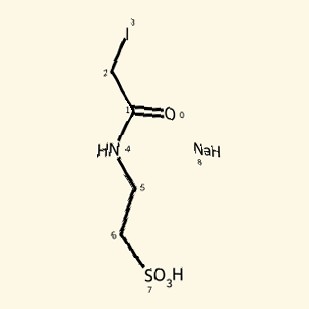 O=C(CI)NCCS(=O)(=O)O.[NaH]